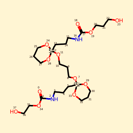 O=C(NCCC[Si]1(OCCCO[Si]2(CCCNC(=O)OCCCO)OCCCO2)OCCCO1)OCCO